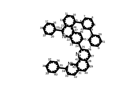 c1ccc(-c2cccc(-c3cccc4c(-c5ccccc5)nc5cc(-c6ccc7ccc8ccc(-c9ccccc9)nc8c7n6)ccc5c34)c2)cc1